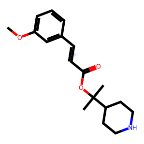 COc1cccc(/C=C/C(=O)OC(C)(C)C2CCNCC2)c1